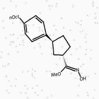 CCCCCCCCc1ccc([C@H]2CC[C@H](/C(=N/O)OC)C2)cc1